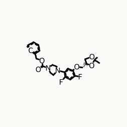 CC1(C)OC[C@@H](COc2cc(N3CCN(C(=O)OCc4ccccc4)CC3)c(F)cc2F)O1